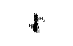 N[C@@H]1c2ccncc2CC12CCN(c1ccc3c(=O)n(-c4cccc(Cl)c4Cl)c(=O)[nH]c3c1)CC2